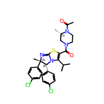 CC(=O)N1CCN(C(=O)C2=C(C(C)C)N3C(=N[C@@](C)(c4ccc(Cl)cc4)[C@H]3c3ccc(Cl)cc3)S2)C[C@@H]1C